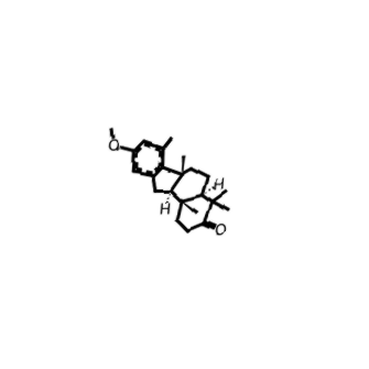 COc1cc(C)c2c(c1)C[C@@H]1[C@@]3(C)CCC(=O)C(C)(C)[C@@H]3CC[C@@]21C